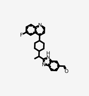 CC(c1nc2ccc(C=O)cc2[nH]1)C1CCC(c2ccnc3ccc(F)cc23)CC1